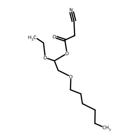 CCCCCCOCC(OCC)OC(=O)CC#N